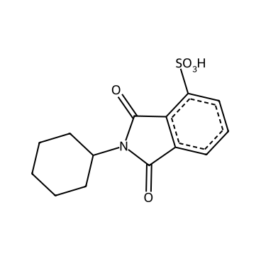 O=C1c2cccc(S(=O)(=O)O)c2C(=O)N1C1CCCCC1